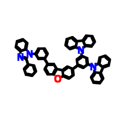 c1ccc(-c2nc3ccccc3n2-c2cccc(-c3ccc4oc5ccc(-c6cc(-n7c8ccccc8c8ccccc87)cc(-n7c8ccccc8c8ccccc87)c6)cc5c4c3)c2)cc1